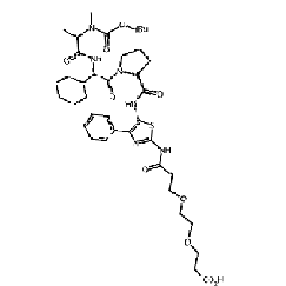 CC(C(=O)NC(C(=O)N1CCCC1C(=O)Nc1sc(NC(=O)CCOCCOCCC(=O)O)nc1-c1ccccc1)C1CCCCC1)N(C)C(=O)OC(C)(C)C